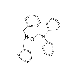 c1ccc(CN(Cc2ccccc2)OCN(c2ccccc2)c2ccccc2)cc1